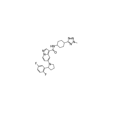 Cn1nnc(C2CCC(NC(=O)c3cnn4ccc(N5CCCC5c5cc(F)ccc5F)cc34)CC2)n1